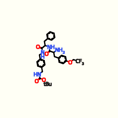 CC(C)(C)OC(=O)NCc1ccc(CNC(=O)C(Cc2ccccc2)NC(=O)C(N)Cc2ccc(OCC(F)(F)F)cc2)cc1